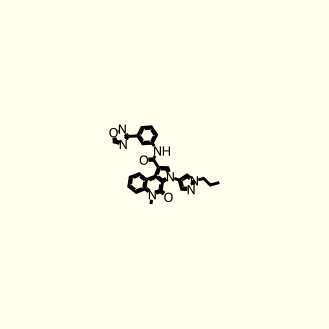 CCCn1cc(-n2cc(C(=O)Nc3cccc(-c4ncon4)c3)c3c4ccccc4n(C)c(=O)c32)cn1